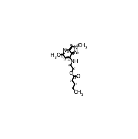 CCCCC(=O)OCCNc1cc(C)nc2cn(C)nc12